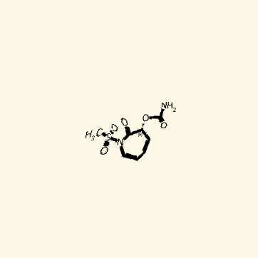 CS(=O)(=O)N1C=CC=C[C@@H](OC(N)=O)C1=O